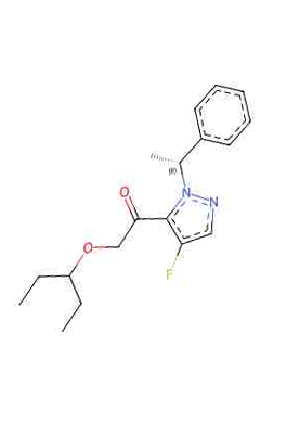 CCC(CC)OCC(=O)c1c(F)cnn1[C@H](C)c1ccccc1